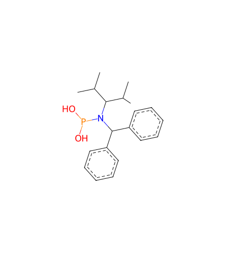 CC(C)C(C(C)C)N(C(c1ccccc1)c1ccccc1)P(O)O